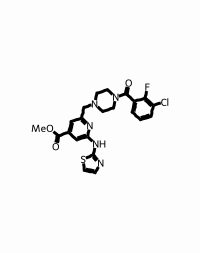 COC(=O)c1cc(CN2CCN(C(=O)c3cccc(Cl)c3F)CC2)nc(Nc2nccs2)c1